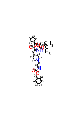 CC(C)(C)OC(=O)N[C@@H](CC1CCN(CCNC(=O)OCc2ccccc2)CC1)C(=O)OC1CCCC1